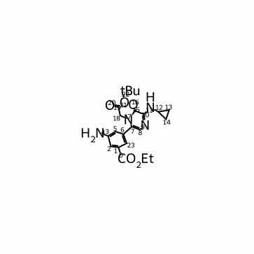 CCOC(=O)c1cc(N)cc(-c2cnc(NC3CC3)c(=O)n2CC(=O)OC(C)(C)C)c1